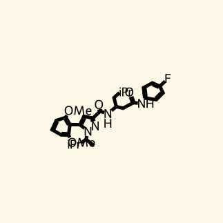 COc1cccc(OC)c1-c1cc(C(=O)NC(CC(=O)Nc2ccc(F)cc2)CC(C)C)nn1C(C)C(C)C